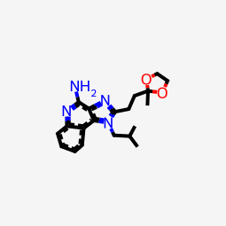 CC(C)Cn1c(CCC2(C)OCCO2)nc2c(N)nc3ccccc3c21